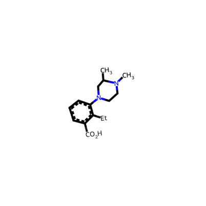 CCc1c(C(=O)O)cccc1N1CCN(C)C(C)C1